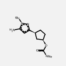 CNC(=O)O[C@@H]1CC[C@H](c2cc(N)n(C(C)(C)C)n2)C1